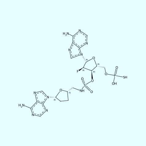 Nc1ncnc2c1ncn2[C@@H]1O[C@H](COP(=O)(O)S)[C@@H](OS(=O)(=O)NC[C@@H]2CC[C@H](n3cnc4c(N)ncnc43)O2)[C@H]1F